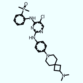 CN(C)C1CC2(CCN(c3ccc(Nc4ncc(Cl)c(Nc5ccccc5P(C)(C)=O)n4)cc3)CC2)C1